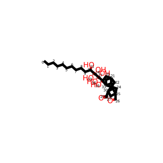 CCCCCCCCCCC(O)C(O)(O)C(O)(O)C1(O)CC23CC4(CC56COC(=O)C4(C5)C6)C1(C2)C3